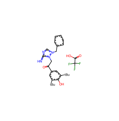 CC(C)(C)c1cc(C(=O)Cn2c(=N)ncn2Cc2ccccc2)cc(C(C)(C)C)c1O.O=C(O)C(F)(F)F